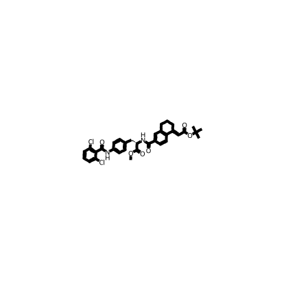 COC(=O)[C@H](Cc1ccc(NC(=O)c2c(Cl)cccc2Cl)cc1)NC(=O)c1ccc2c(c1)CCC/C2=C\C(=O)OC(C)(C)C